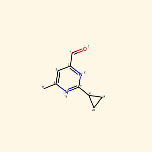 Cc1cc(C=O)nc(C2CC2)n1